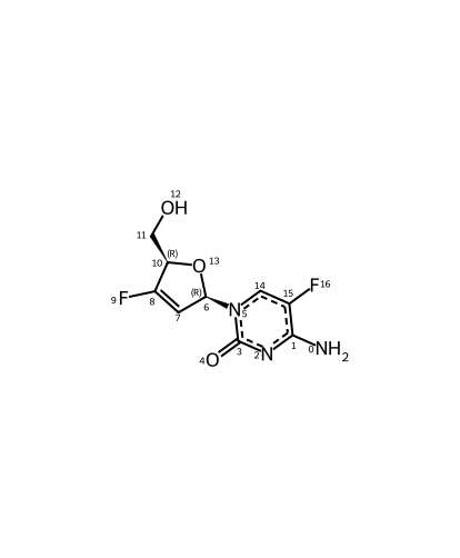 Nc1nc(=O)n([C@H]2C=C(F)[C@@H](CO)O2)cc1F